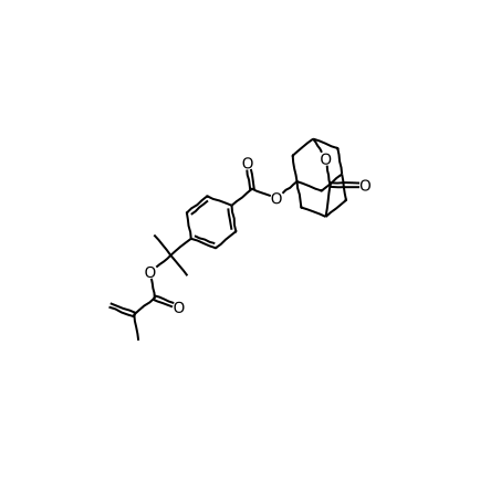 C=C(C)C(=O)OC(C)(C)c1ccc(C(=O)OC23CC4CC(C2)OC(=O)C(C4)C3)cc1